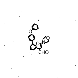 O=CC1C=C(N2CCOCC2)Oc2c(-c3ccc(Oc4ccccc4)cc3)cccc21